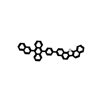 c1ccc2cc(-c3c4ccccc4c(-c4ccc(-c5ccc6c(ccc7c8ccc9ccccc9c8oc67)c5)cc4)c4ccccc34)ccc2c1